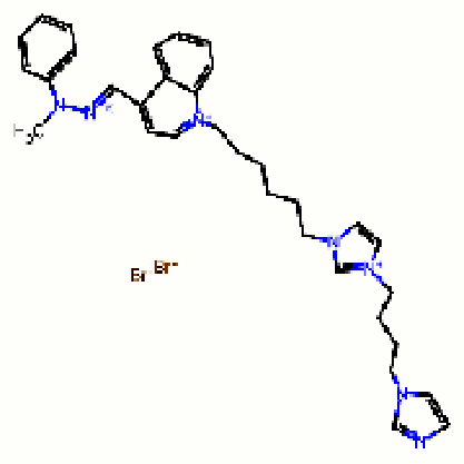 CN(/N=C/c1cc[n+](CCCCCCn2cc[n+](CCCCn3ccnc3)c2)c2ccccc12)c1ccccc1.[Br-].[Br-]